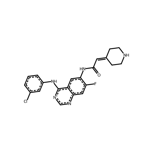 O=C(C=C1CCNCC1)Nc1cc2c(Nc3cccc(Cl)c3)ncnc2cc1F